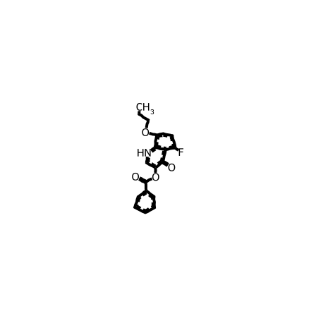 CCCOc1ccc(F)c2c(=O)c(OC(=O)c3ccccc3)c[nH]c12